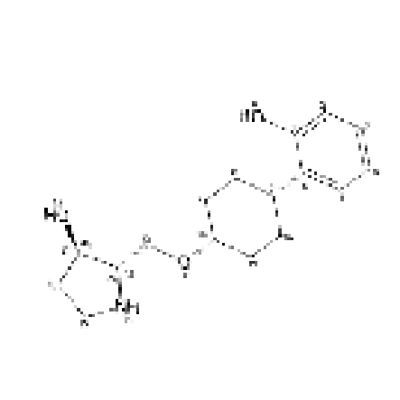 Oc1ccccc1[C@H]1CC[C@@H](OC[C@@H]2NCC[C@H]2O)CC1